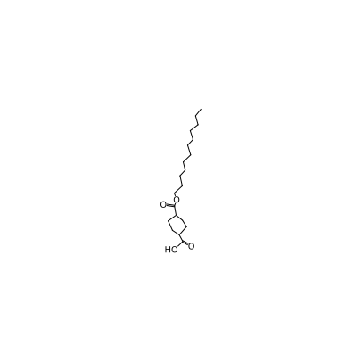 CCCCCCCCCCCCOC(=O)C1CCC(C(=O)O)CC1